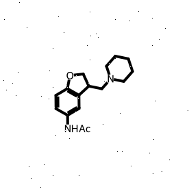 CC(=O)Nc1ccc2c(c1)C(CN1CCCCC1)CO2